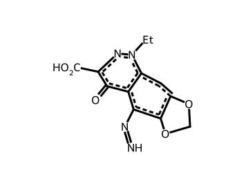 CCn1nc(C(=O)O)c(=O)c2c(N=N)c3c(cc21)OCO3